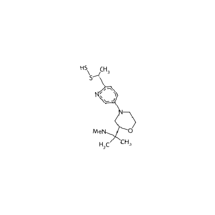 CNC(C)(C)C1CN(c2ccc(C(C)SS)nc2)CCO1